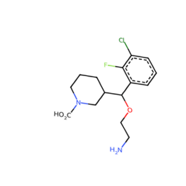 NCCOC(c1cccc(Cl)c1F)C1CCCN(C(=O)O)C1